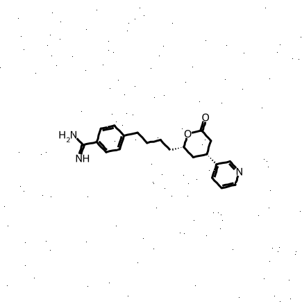 N=C(N)c1ccc(CCCC[C@H]2C[C@@H](c3cccnc3)CC(=O)O2)cc1